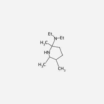 CCN(CC)C1(C)CCC(C)C(C)N1